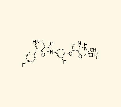 CC1(C)COc2c(Oc3ccc(NC(=O)c4c[nH]cc(-c5ccc(F)cc5)c4=O)cc3F)ccnc2N1